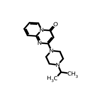 CC(C)N1CCN(c2cc(=O)n3ccccc3n2)CC1